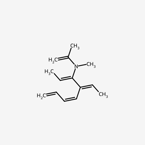 C=C\C=C/C(=C\C)C(=C/C)/N(C)C(=C)C